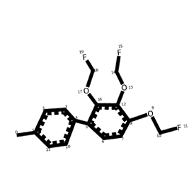 Cc1ccc(-c2ccc(OCF)c(OCF)c2OCF)cc1